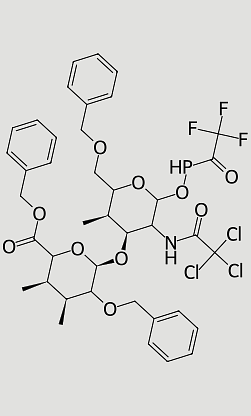 C[C@@H]1C(OCc2ccccc2)[C@H](O[C@@H]2C(NC(=O)C(Cl)(Cl)Cl)C(OPC(=O)C(F)(F)F)OC(COCc3ccccc3)[C@@H]2C)OC(C(=O)OCc2ccccc2)[C@@H]1C